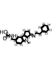 Cn1c2c(c3cc(CNC(=O)O)ccc31)CC/C2=N\CCc1ccccc1